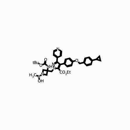 CCOC(=O)c1c(-c2ccc(OCc3ccc(C4CC4)cc3)cc2)c(-c2ccncc2)nn1CC1(NC(=O)OC(C)(C)C)CN(B(C)O)C1